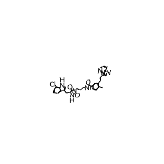 Cc1ccc(C(=O)NCCCN2C(=O)NC(Cc3c[nH]c4c(Cl)cccc34)C2=O)cc1CCc1cnc2cccnn12